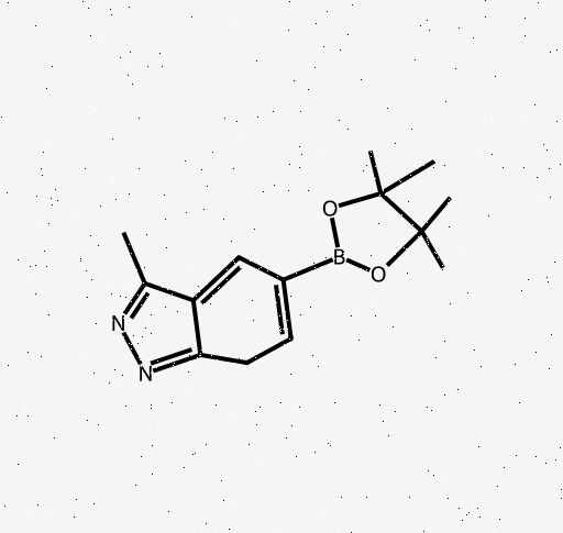 CC1=NN=C2CC=C(B3OC(C)(C)C(C)(C)O3)C=C12